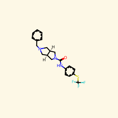 O=C(Nc1ccc(SC(F)(F)F)cc1)N1C[C@H]2CN(Cc3ccccc3)C[C@H]2C1